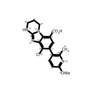 COc1ccc(-c2cc(C(=O)O)c3c(nc4n3CCCN4)c2Cl)c(C)n1